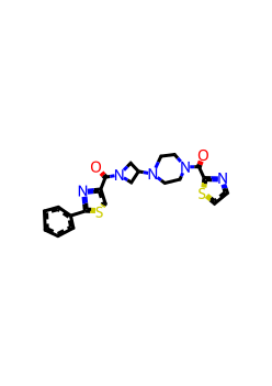 O=C(c1csc(-c2ccccc2)n1)N1CC(N2CCN(C(=O)c3nccs3)CC2)C1